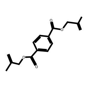 C=C(C)COC(=O)c1ccc(C(=O)OCC(=C)C)cc1